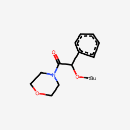 CC(C)(C)OC(C(=O)N1CCOCC1)c1ccccc1